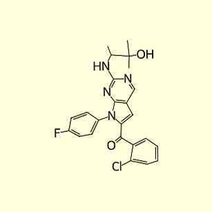 CC(Nc1ncc2cc(C(=O)c3ccccc3Cl)n(-c3ccc(F)cc3)c2n1)C(C)(C)O